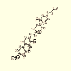 C=CCCc1ccc(C2CCC(CCc3ccc(-c4ccc(OCC)c(F)c4F)c(F)c3F)OC2)c(F)c1